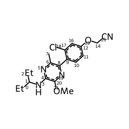 CCC(CC)Nc1nc(C)c(-c2ccc(OCC#N)cc2Cl)nc1OC